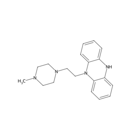 CN1CCN(CCN2c3ccccc3Nc3ccccc32)CC1